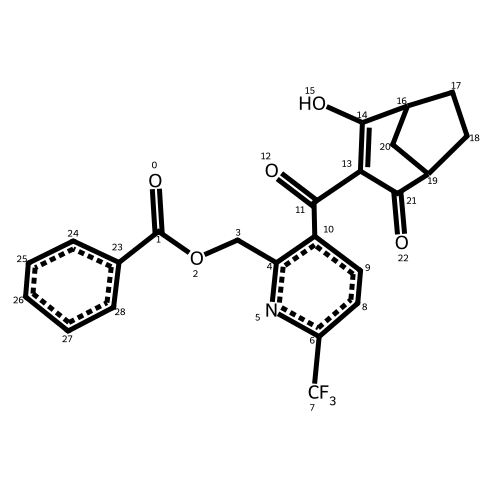 O=C(OCc1nc(C(F)(F)F)ccc1C(=O)C1=C(O)C2CCC(C2)C1=O)c1ccccc1